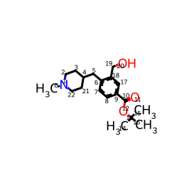 CN1CCC(Cc2ccc(C(=O)OC(C)(C)C)cc2CO)CC1